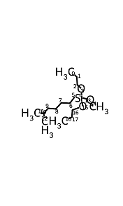 CCCO[Si](CCCCCC(C)C)(OC)OCCC